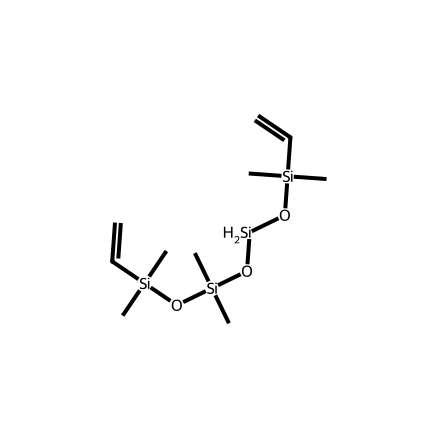 C=C[Si](C)(C)O[SiH2]O[Si](C)(C)O[Si](C)(C)C=C